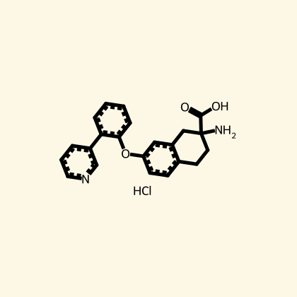 Cl.NC1(C(=O)O)CCc2ccc(Oc3ccccc3-c3cccnc3)cc2C1